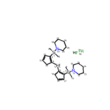 C[Si](C)(C1=[C]([Hf][C]2=C([Si](C)(C)N3CCCCC3)C=CC2)CC=C1)N1CCCCC1.F.F